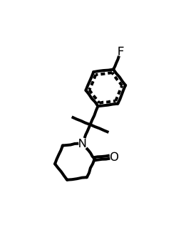 CC(C)(c1ccc(F)cc1)N1CCCCC1=O